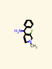 CN1C=CC(C(N)c2ccccc2)=C(F)C1